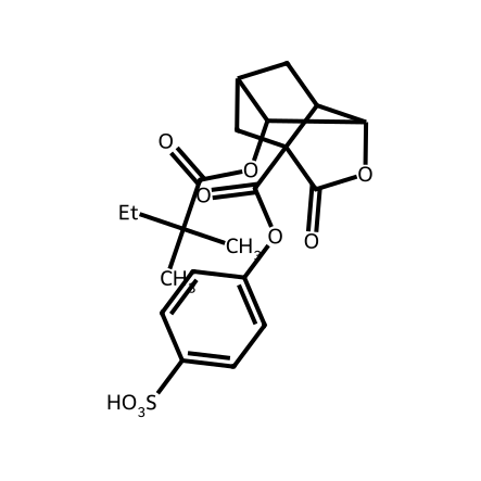 CCC(C)(C)C(=O)OC1C2CC3C1OC(=O)C3(C(=O)Oc1ccc(S(=O)(=O)O)cc1)C2